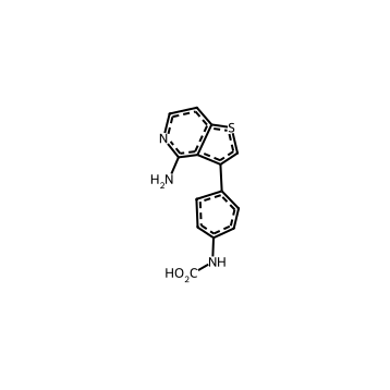 Nc1nccc2scc(-c3ccc(NC(=O)O)cc3)c12